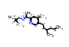 C=C(NCC(C)(C)F)c1cc(C)c(CCC(C)CCC)cn1